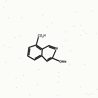 COc1cc2cccc(C(=O)O)c2cn1